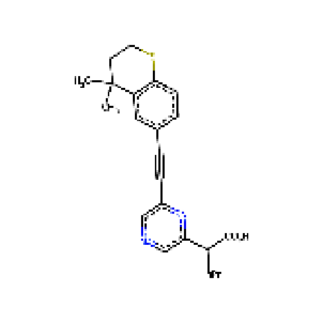 CCCC(C(=O)O)c1cncc(C#Cc2ccc3c(c2)C(C)(C)CCS3)n1